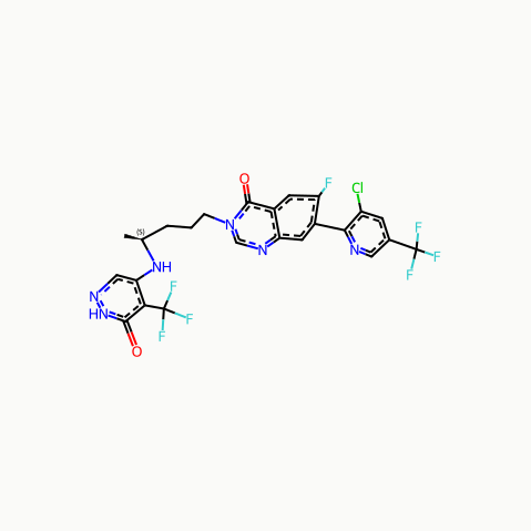 C[C@@H](CCCn1cnc2cc(-c3ncc(C(F)(F)F)cc3Cl)c(F)cc2c1=O)Nc1cn[nH]c(=O)c1C(F)(F)F